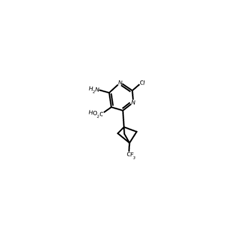 Nc1nc(Cl)nc(C23CC(C(F)(F)F)(C2)C3)c1C(=O)O